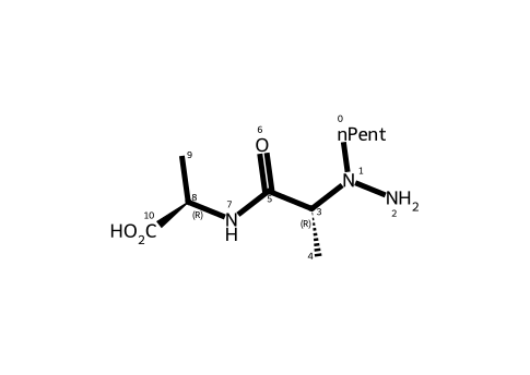 CCCCCN(N)[C@H](C)C(=O)N[C@H](C)C(=O)O